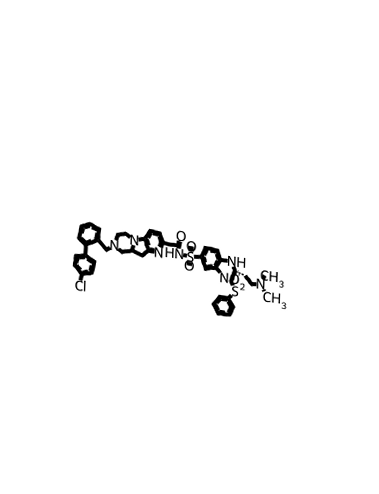 CN(C)CC[C@H](CSc1ccccc1)Nc1ccc(S(=O)(=O)NC(=O)c2ccc3c(n2)CC2CN(Cc4ccccc4-c4ccc(Cl)cc4)CCN32)cc1[N+](=O)[O-]